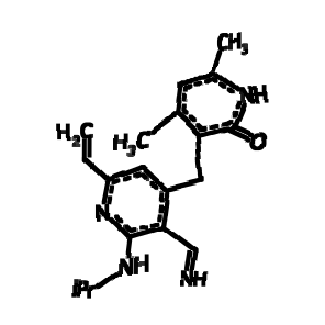 C=Cc1cc(Cc2c(C)cc(C)[nH]c2=O)c(C=N)c(NC(C)C)n1